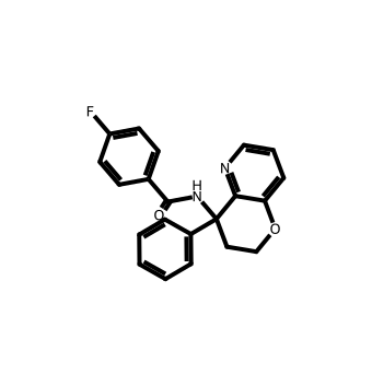 O=C(NC1(c2ccccc2)CCOc2cccnc21)c1ccc(F)cc1